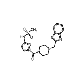 CS(=O)(=O)Nc1ccn(C(=O)N2CCN(Cc3nc4ccccc4s3)CC2)n1